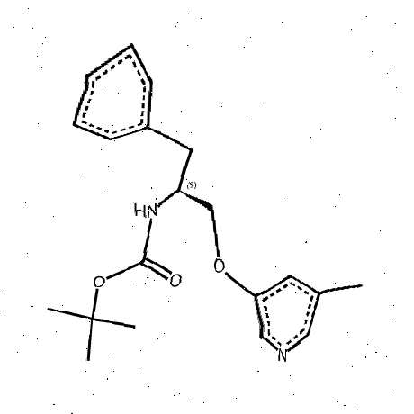 Cc1cncc(OC[C@H](Cc2ccccc2)NC(=O)OC(C)(C)C)c1